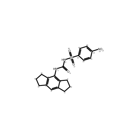 O=C(Nc1c2c(cc3c1CCC3)CCC2)NS(=O)(=O)c1ccc([N+](=O)[O-])cc1